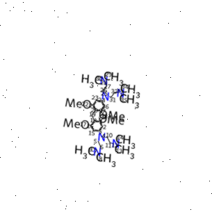 COc1cc(N(CCN(C)C)CCN(C)C)cc(OC)c1Cc1c(OC)cc(N(CCN(C)C)CCN(C)C)cc1OC